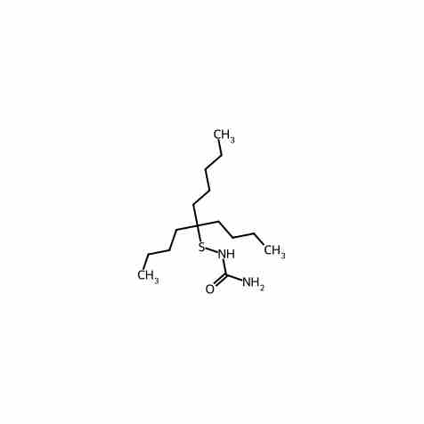 CCCCCC(CCCC)(CCCC)SNC(N)=O